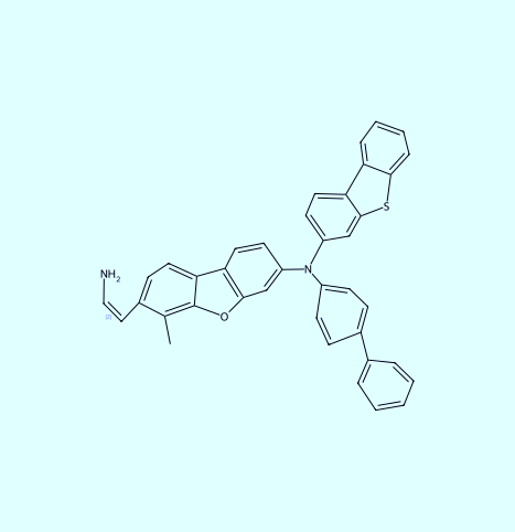 Cc1c(/C=C\N)ccc2c1oc1cc(N(c3ccc(-c4ccccc4)cc3)c3ccc4c(c3)sc3ccccc34)ccc12